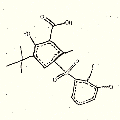 Cc1c(S(=O)(=O)c2cccc(Cl)c2Cl)cc(C(C)(C)C)c(O)c1C(=O)O